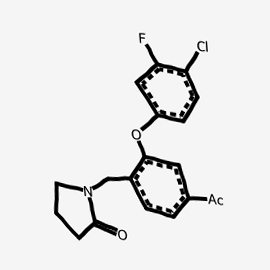 CC(=O)c1ccc(CN2CCCC2=O)c(Oc2ccc(Cl)c(F)c2)c1